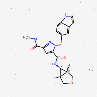 CNC(=O)c1cc(C(=O)N[C@H]2[C@@H]3COC[C@@H]32)n(Cc2ccc3[nH]ccc3c2)n1